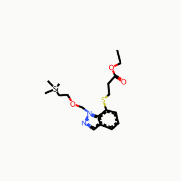 CCOC(=O)CCSc1cccc2cnn(COCC[Si](C)(C)C)c12